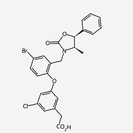 C[C@@H]1[C@H](c2ccccc2)OC(=O)N1Cc1cc(Br)ccc1Oc1cc(Cl)cc(CC(=O)O)c1